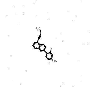 CCCc1ccc(-c2ccc3c(C#COC(F)(F)F)cccc3c2)c(F)c1